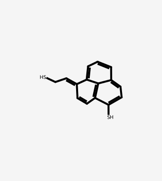 SCC=c1ccc2c(S)ccc3cccc1c32